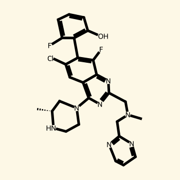 C[C@@H]1CN(c2nc(CN(C)Cc3ncccn3)nc3c(F)c(-c4c(O)cccc4F)c(Cl)cc23)CCN1